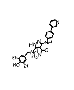 CCc1cc(CNc2[nH]nc(Nc3ccc(-c4cccnc4)cc3)c2C(N)=O)cc(CC)c1O